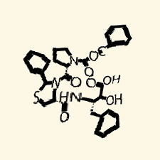 O=C(O)C(O)[C@H](Cc1ccccc1)NC(=O)[C@@H]1CSC(c2ccccc2)N1C(=O)[C@@H]1CCCN1C(=O)OCc1ccccc1